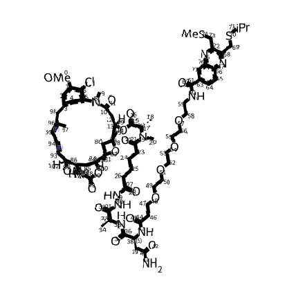 COc1cc2cc(c1Cl)N(C)C(=O)C[C@H](OC(=O)[C@H](C)N(C)C(=O)CCCCC(=O)NNC(=O)[C@H](C)NC(=O)[C@H](CC(N)=O)NC(=O)CCOCCOCCOCCOCCNC(=O)c1ccc3nc(CSC(C)C)c(CSC)nc3c1)[C@@]1(C)CC(C)(O1)[C@@H]1C[C@@H](NC(=O)O1)[C@H](OC)/C=C/C=C(\C)C2